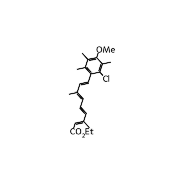 CCOC(=O)C=C(C)C=CC=C(C)C=Cc1c(C)c(C)c(OC)c(C)c1Cl